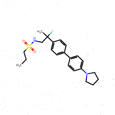 CCCS(=O)(=O)NCC(C)(F)c1ccc(-c2ccc(N3CCCC3)cc2)cc1